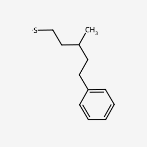 CC(CC[S])CCc1ccccc1